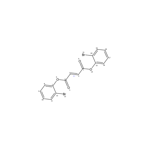 O=C(/C=C/C(=O)Oc1ccccc1Br)Oc1ccccc1Br